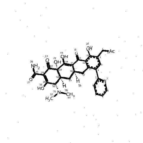 CC(=O)Cc1cc(-c2ccccn2)c2c(c1O)C(=O)C1=C(O)[C@]3(O)C(=O)C(C(N)=O)=C(O)[C@@H](N(C)C)[C@@H]3C[C@@H]1C2